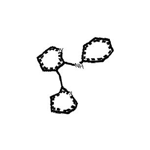 c1ccc(Nc2ncccc2-c2ccccn2)cc1